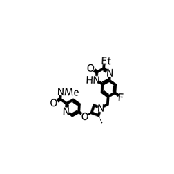 CCc1nc2cc(F)c(CN3C[C@H](Oc4ccc(C(=O)NC)nc4)[C@H]3C)cc2[nH]c1=O